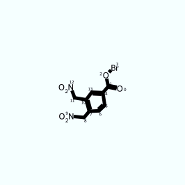 O=C(OBr)c1ccc(C[N+](=O)[O-])c(C[N+](=O)[O-])c1